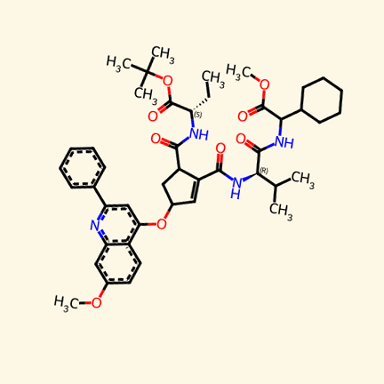 CC[C@H](NC(=O)C1CC(Oc2cc(-c3ccccc3)nc3cc(OC)ccc23)C=C1C(=O)N[C@@H](C(=O)NC(C(=O)OC)C1CCCCC1)C(C)C)C(=O)OC(C)(C)C